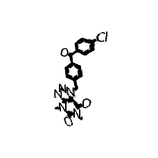 Cn1c(=O)c2c(nnn2Cc2ccc(C(=O)c3ccc(Cl)cc3)cc2)n(C)c1=O